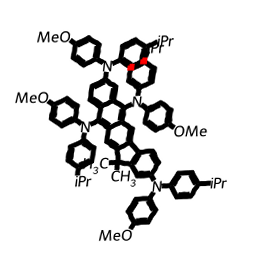 COc1ccc(N(c2ccc(C(C)C)cc2)c2ccc3c(c2)C(C)(C)c2cc4c(N(c5ccc(OC)cc5)c5ccc(C(C)C)cc5)c5ccc(N(c6ccc(OC)cc6)c6ccc(C(C)C)cc6)cc5c(N(c5ccc(OC)cc5)c5ccc(C(C)C)cc5)c4cc2-3)cc1